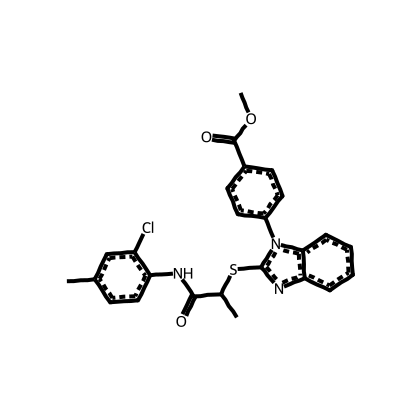 COC(=O)c1ccc(-n2c(SC(C)C(=O)Nc3ccc(C)cc3Cl)nc3ccccc32)cc1